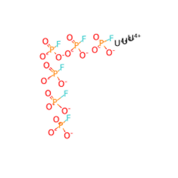 O=P([O-])([O-])F.O=P([O-])([O-])F.O=P([O-])([O-])F.O=P([O-])([O-])F.O=P([O-])([O-])F.O=P([O-])([O-])F.[U+4].[U+4].[U+4]